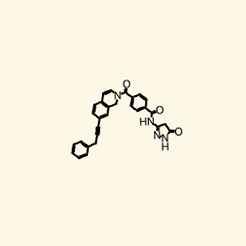 O=C1CC(NC(=O)c2ccc(C(=O)N3C=Cc4ccc(C#CCc5ccccc5)cc4C3)cc2)=NN1